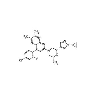 Cc1nc2nc(N3C[C@@H](C)O[C@@H](c4cnn(C5CC5)c4)C3)cc(-c3ccc(Cl)cc3F)c2nc1C